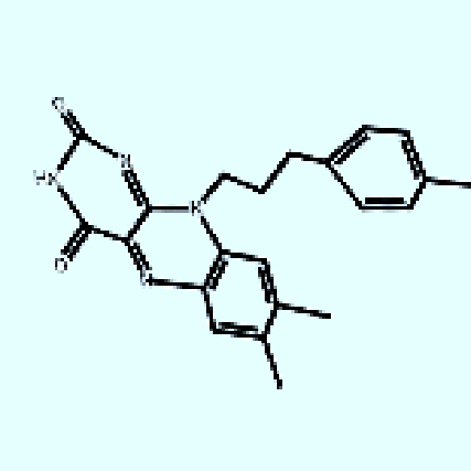 Cc1ccc(CCCn2c3nc(=O)[nH]c(=O)c-3nc3cc(C)c(C)cc32)cc1